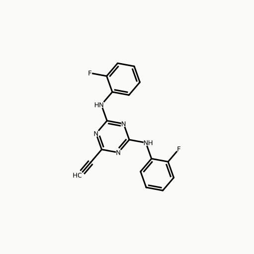 C#Cc1nc(Nc2ccccc2F)nc(Nc2ccccc2F)n1